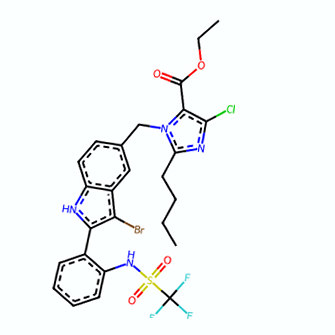 CCCCc1nc(Cl)c(C(=O)OCC)n1Cc1ccc2[nH]c(-c3ccccc3NS(=O)(=O)C(F)(F)F)c(Br)c2c1